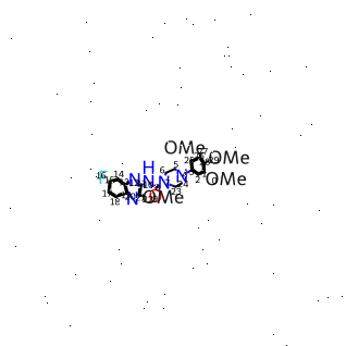 COc1cc(N2CCN(C(=O)Nc3nc4cc(F)ccc4nc3OC)CC2)cc(OC)c1OC